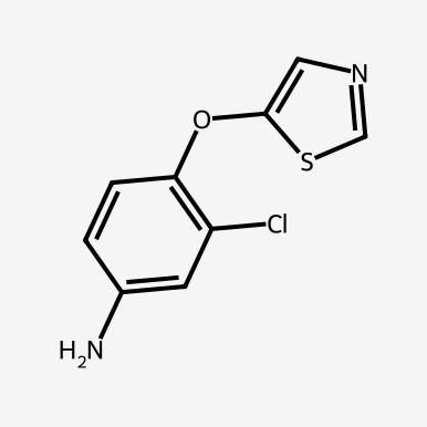 Nc1ccc(Oc2cncs2)c(Cl)c1